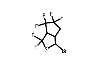 FC1(F)SC(Br)C2CC(F)(F)C(F)(F)C21